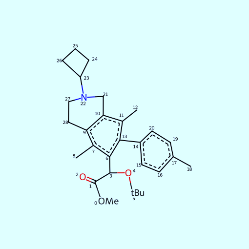 COC(=O)C(OC(C)(C)C)c1c(C)c2c(c(C)c1-c1ccc(C)cc1)CN(C1CCC1)CC2